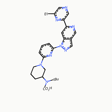 CCc1cncc(-c2cc3c(cn2)cnn3-c2cccc(N3CCCC(N(C(=O)O)C(C)(C)C)C3)n2)n1